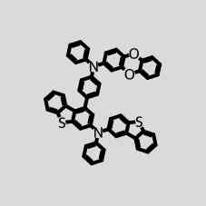 c1ccc(N(c2ccc(-c3cc(N(c4ccccc4)c4ccc5sc6ccccc6c5c4)cc4sc5ccccc5c34)cc2)c2ccc3c(c2)Oc2ccccc2O3)cc1